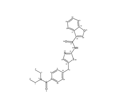 CCN(CC)C(=O)c1ccc(Cc2cnc(NC(=O)c3coc4ccccc34)s2)cc1